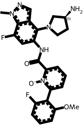 COc1cccc(F)c1-c1cccc(C(=O)Nc2cc(F)c3c(cnn3C)c2N2CC[C@H](N)C2)[n+]1[O-]